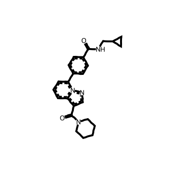 O=C(NCC1CC1)c1ccc(-c2cccc3c(C(=O)N4CCCCC4)cnn23)cc1